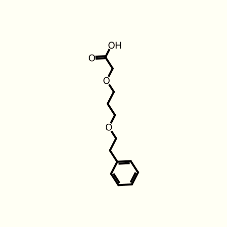 O=C(O)COCCCOCCc1ccccc1